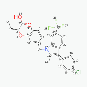 CC[C@H](Oc1cccc(Cn2c(C)c(-c3ccc(Cl)cc3)c3ccc(C(F)(F)F)cc32)c1)C(=O)O